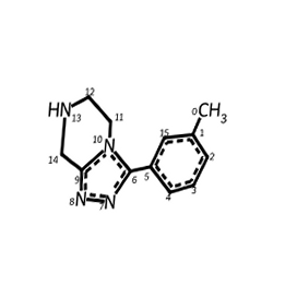 Cc1cccc(-c2nnc3n2CCNC3)c1